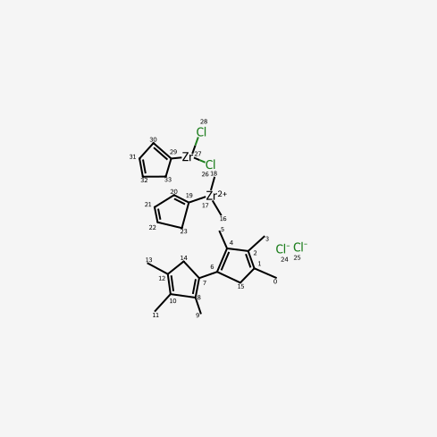 CC1=C(C)C(C)=C(C2=C(C)C(C)=C(C)C2)C1.[CH3][Zr+2]([CH3])[C]1=CC=CC1.[Cl-].[Cl-].[Cl][Zr]([Cl])[C]1=CC=CC1